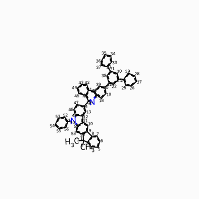 CC1(C)c2ccccc2-c2cc3c4cc(-c5nc6ccc(-c7cc(-c8ccccc8)cc(-c8ccccc8)c7)cc6c6ccccc56)ccc4n(-c4ccccc4)c3cc21